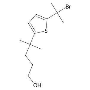 CC(C)(Br)c1ccc(C(C)(C)CCCO)s1